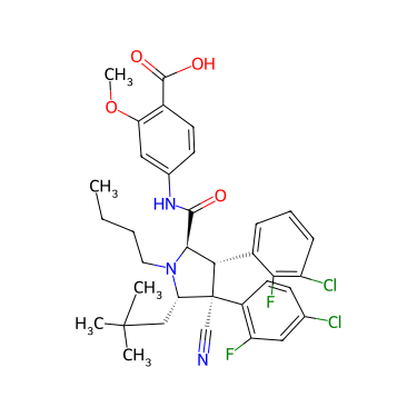 CCCCN1[C@@H](CC(C)(C)C)[C@](C#N)(c2ccc(Cl)cc2F)[C@@H](c2cccc(Cl)c2F)[C@@H]1C(=O)Nc1ccc(C(=O)O)c(OC)c1